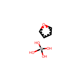 O[Si](O)(O)O.c1ccoc1